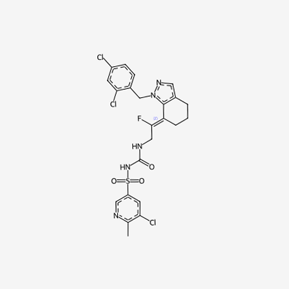 Cc1ncc(S(=O)(=O)NC(=O)NC/C(F)=C2\CCCc3cnn(Cc4ccc(Cl)cc4Cl)c32)cc1Cl